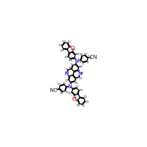 N#Cc1ccc(N(c2cc3cnc4cc(N(c5ccc(C#N)cc5)c5ccc6c(c5)oc5ccccc56)cc5cnc(c2)c3c54)c2ccc3c(c2)oc2ccccc23)cc1